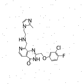 Cc1nccn1CCNCc1nccc2c(=O)[nH]c(COc3ccc(F)c(Cl)c3)nc12